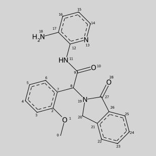 COc1ccccc1C(C(=O)Nc1ncccc1N)N1Cc2ccccc2C1=O